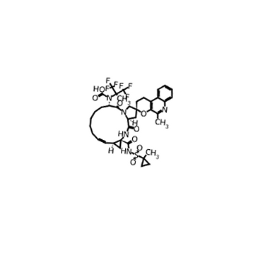 Cc1nc2ccccc2c2c1O[C@]1(CC2)C[C@H]2C(=O)N[C@]3(C(=O)NS(=O)(=O)C4(C)CC4)C[C@H]3/C=C\CCCCC[C@H](N(C(=O)O)C(C)(C(F)(F)F)C(F)(F)F)C(=O)N2C1